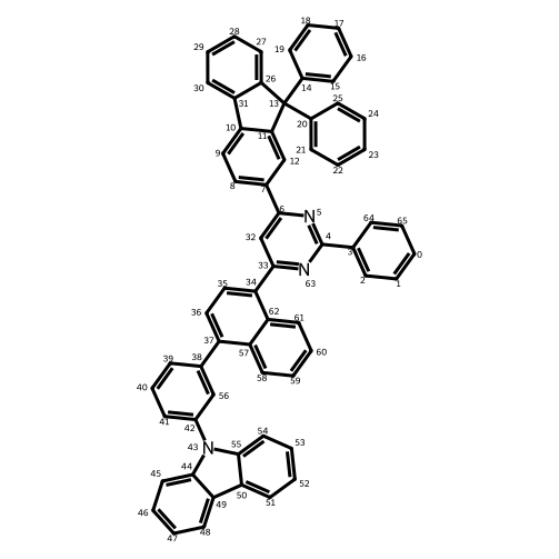 c1ccc(-c2nc(-c3ccc4c(c3)C(c3ccccc3)(c3ccccc3)c3ccccc3-4)cc(-c3ccc(-c4cccc(-n5c6ccccc6c6ccccc65)c4)c4ccccc34)n2)cc1